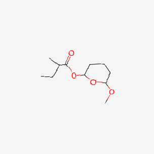 CCC(C)C(=O)OC1CCCC(OC)O1